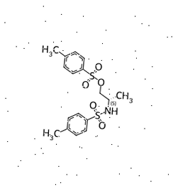 Cc1ccc(S(=O)(=O)N[C@@H](C)COS(=O)(=O)c2ccc(C)cc2)cc1